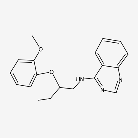 CCC(CNc1ncnc2ccccc12)Oc1ccccc1OC